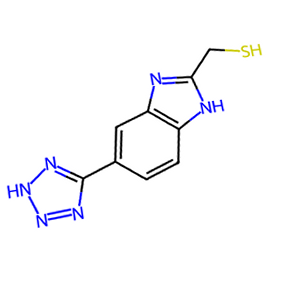 SCc1nc2cc(-c3nn[nH]n3)ccc2[nH]1